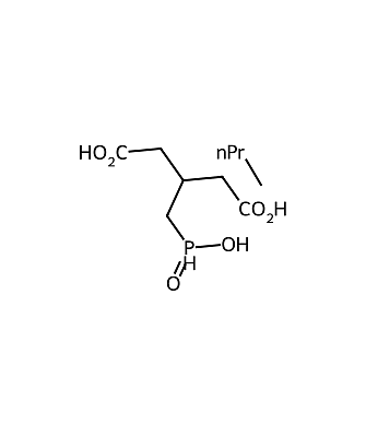 CCCC.O=C(O)CC(CC(=O)O)C[PH](=O)O